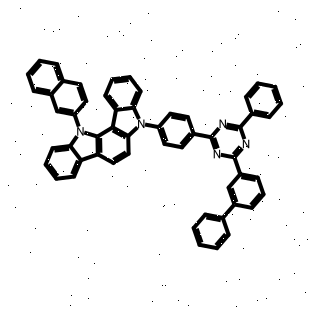 c1ccc(-c2cccc(-c3nc(-c4ccccc4)nc(-c4ccc(-n5c6ccccc6c6c5ccc5c7ccccc7n(-c7ccc8ccccc8c7)c56)cc4)n3)c2)cc1